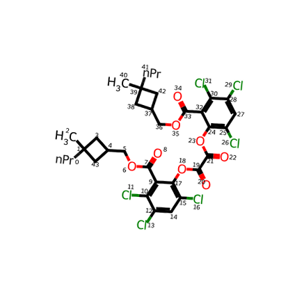 CCCC1(C)CC(COC(=O)c2c(Cl)c(Cl)cc(Cl)c2OC(=O)C(=O)Oc2c(Cl)cc(Cl)c(Cl)c2C(=O)OCC2CC(C)(CCC)C2)C1